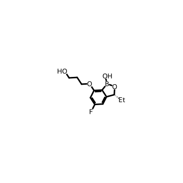 CC[C@H]1OB(O)c2c(OCCCO)cc(F)cc21